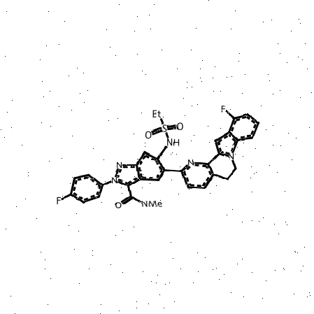 CCS(=O)(=O)Nc1cc2nn(-c3ccc(F)cc3)c(C(=O)NC)c2cc1-c1ccc2c(n1)-c1cc3c(F)cccc3n1CC2